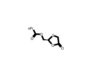 CCCC(=O)OC[C@@H]1OC(=O)CS1